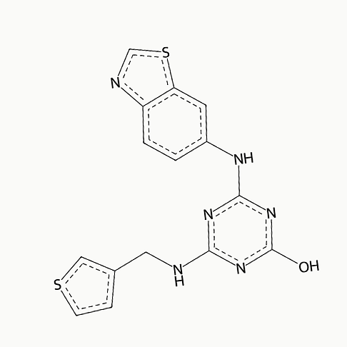 Oc1nc(NCc2ccsc2)nc(Nc2ccc3ncsc3c2)n1